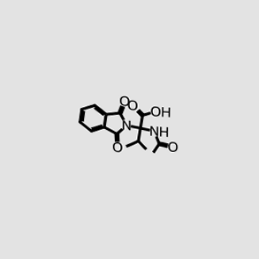 CC(=O)NC(C(=O)O)(C(C)C)N1C(=O)c2ccccc2C1=O